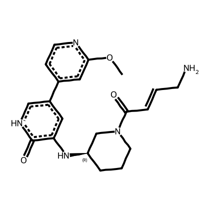 COc1cc(-c2c[nH]c(=O)c(N[C@@H]3CCCN(C(=O)C=CCN)C3)c2)ccn1